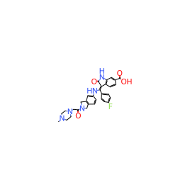 CN1CCN(CC(=O)N2Cc3ccc(N/C(=C4\C(=O)Nc5cc(C(=O)O)ccc54)c4ccc(F)cc4)cc3C2)CC1